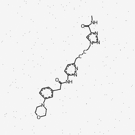 CNC(=O)c1cn(CCCCc2ccc(NC(=O)Cc3cccc(N4CCOCC4)c3)nn2)nn1